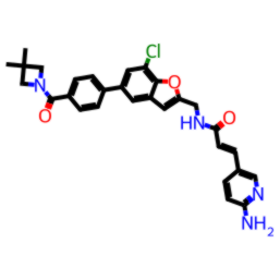 CC1(C)CN(C(=O)c2ccc(-c3cc(Cl)c4oc(CNC(=O)C=Cc5ccc(N)nc5)cc4c3)cc2)C1